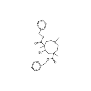 CCC1CC(C)(C(=O)OCc2ccccc2)CCN(C)CCC1(C)C(=O)OCc1ccccc1